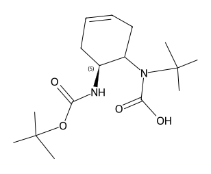 CC(C)(C)OC(=O)N[C@H]1CC=CCC1N(C(=O)O)C(C)(C)C